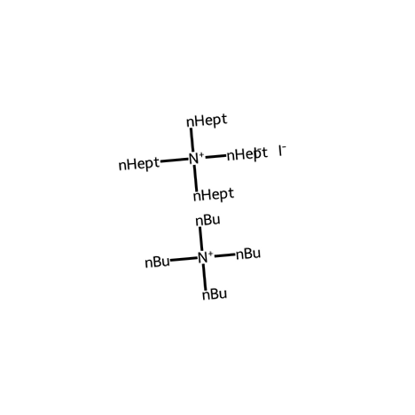 CCCCCCC[N+](CCCCCCC)(CCCCCCC)CCCCCCC.CCCC[N+](CCCC)(CCCC)CCCC.[I-].[I-]